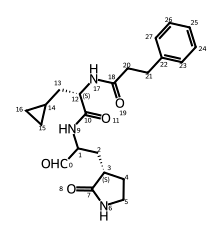 O=CC(C[C@@H]1CCNC1=O)NC(=O)[C@H](CC1CC1)NC(=O)CCc1ccccc1